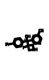 CC(C)c1ccc([C@](O)(c2cncc(C#N)c2)C2(F)CNC2)cc1